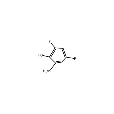 Oc1c(F)cc(F)cc1[AsH2]